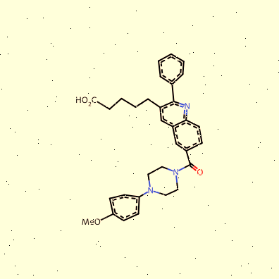 COc1ccc(N2CCN(C(=O)c3ccc4nc(-c5ccccc5)c(CCCCC(=O)O)cc4c3)CC2)cc1